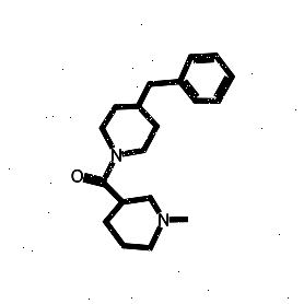 CN1CCCC(C(=O)N2CCC(Cc3ccccc3)CC2)C1